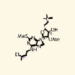 C=P(C)(C)CC[C@H]1O[C@@H](n2cnc3c(NC/C=C(/C)CC)nc(SC)nc32)[C@H](OC)[C@@H]1O